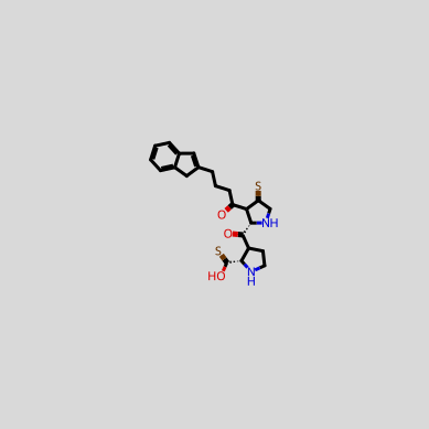 O=C(CCCC1=Cc2ccccc2C1)C1C(=S)CN[C@@H]1C(=O)C1CCN[C@@H]1C(O)=S